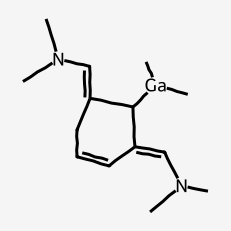 CN(C)C=C1C=CCC(=CN(C)C)[CH]1[Ga]([CH3])[CH3]